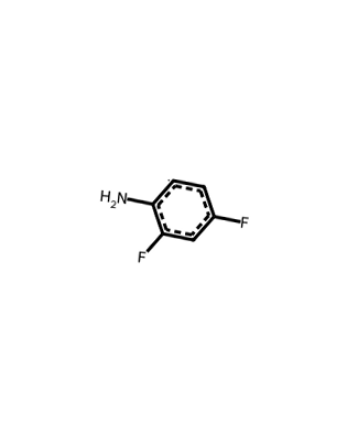 Nc1[c]cc(F)cc1F